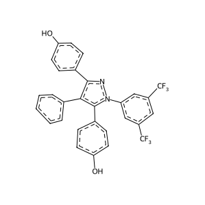 Oc1ccc(-c2nn(-c3cc(C(F)(F)F)cc(C(F)(F)F)c3)c(-c3ccc(O)cc3)c2-c2ccccc2)cc1